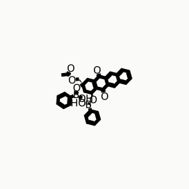 CC(=O)OC[C@]1(OB(O)c2ccccc2)CC2=C(C(=O)c3cc4ccccc4cc3C2=O)[C@@H](OB(O)c2ccccc2)C1